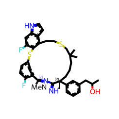 CN/C1=N\C(=N)[C@@](C)(c2cccc(CC(C)O)c2)CCCC(C)(C)CSCCc2c(c(F)cc3[nH]ccc23)Sc2ccc(F)c1c2